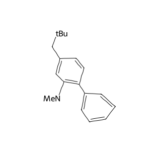 CNc1cc(CC(C)(C)C)ccc1-c1ccccc1